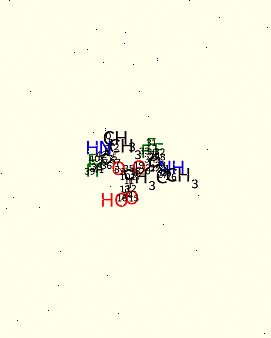 CC(C)Nc1cc(COc2cc(CCC(=O)O)cc(OCc3cc(NC(C)C)cc(C(F)(F)F)c3)c2)cc(C(F)(F)F)c1